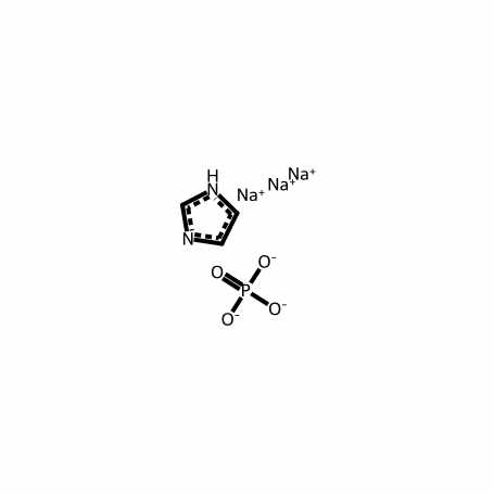 O=P([O-])([O-])[O-].[Na+].[Na+].[Na+].c1c[nH]cn1